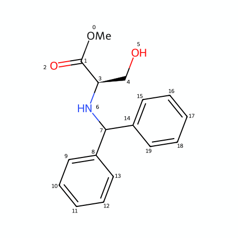 COC(=O)[C@@H](CO)NC(c1ccccc1)c1ccccc1